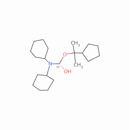 CC(C)(O[C@H](O)N(C1CCCCC1)C1CCCCC1)C1CCCC1